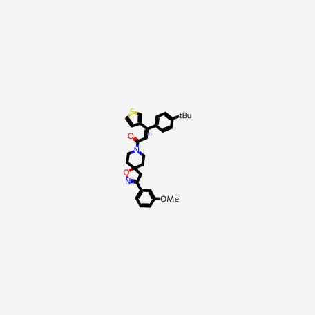 COc1cccc(C2=NOC3(CCN(C(=O)/C=C(/c4ccc(C(C)(C)C)cc4)c4ccsc4)CC3)C2)c1